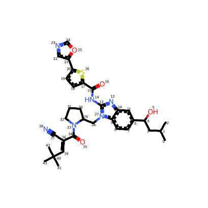 CC(C)CC(O)c1ccc2c(c1)nc(NC(=O)c1ccc(-c3cnco3)s1)n2CC1CCCN1C(=O)C(C#N)=CC(C)(C)C